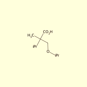 CC(C)OCC(C)(C(=O)O)C(C)C